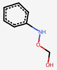 OCONc1ccccc1